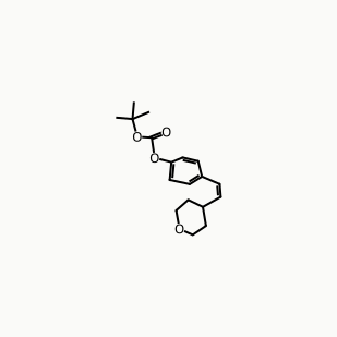 CC(C)(C)OC(=O)Oc1ccc(/C=C\C2CCOCC2)cc1